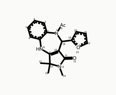 CC(=O)N1c2ccccc2NC2=C(C(=O)N(C)C2(C)C)C1c1ccco1